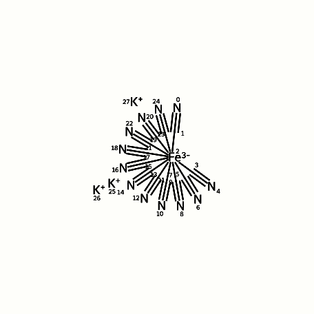 N#[C][Fe-3]([C]#N)([C]#N)([C]#N)([C]#N)([C]#N)([C]#N)([C]#N)([C]#N)([C]#N)([C]#N)[C]#N.[K+].[K+].[K+]